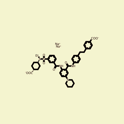 CCN([C@H]1CC[C@H](C(=O)[O-])CC1)S(=O)(=O)c1cccc(C(=O)Nc2ccc(N3CCCCC3)cc2C(=O)Nc2ccc(CCc3ccc(C(=O)[O-])cc3)cc2)c1.[Na+].[Na+]